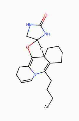 CC(=O)CCCC1=C2CCCCC23CC2(CNC(=O)N2)OC3=C2CCC=CN12